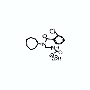 CC(C)(C)OC(=O)NCN(C(=O)c1ccccc1Cl)C1CCCCCC1